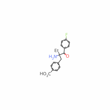 CCC(N)(Cc1ccc(C(=O)O)cc1)C(=O)c1ccc(F)cc1